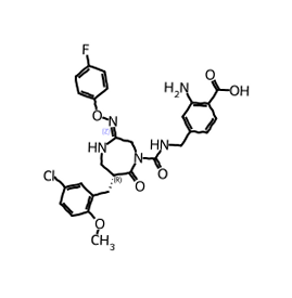 COc1ccc(Cl)cc1C[C@@H]1CN/C(=N\Oc2ccc(F)cc2)CN(C(=O)NCc2ccc(C(=O)O)c(N)c2)C1=O